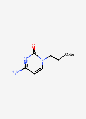 COCCn1ccc(N)nc1=O